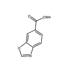 COC(=O)c1ccc2ncoc2c1